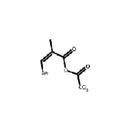 CCCC=C(C)C(=O)OC(=O)C(Cl)(Cl)Cl